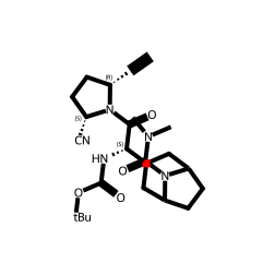 C#C[C@H]1CC[C@@H](C#N)N1C(=O)[C@@H](NC(=O)OC(C)(C)C)C1CC2CCC(C1)N2C(=O)N(C)C